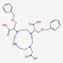 O=C(O)CN1CCNCCN(C(COCc2ccccc2)C(=O)O)CCN(C(COCc2ccccc2)C(=O)O)CC1